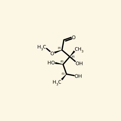 CO[C@@H](C=O)[C@](C)(O)[C@H](O)[C@H](C)O